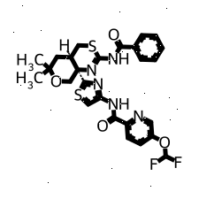 CC1(C)C[C@H]2CSC(NC(=O)c3ccccc3)=N[C@@]2(c2nc(NC(=O)c3ccc(OC(F)F)cn3)cs2)CO1